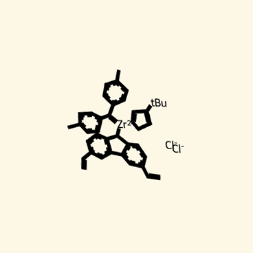 C=Cc1ccc2c(c1)-c1cc(C=C)ccc1[CH]2[Zr+2]([C]1=CC(C(C)(C)C)=CC1)=[C](c1ccc(C)cc1)c1ccc(C)cc1.[Cl-].[Cl-]